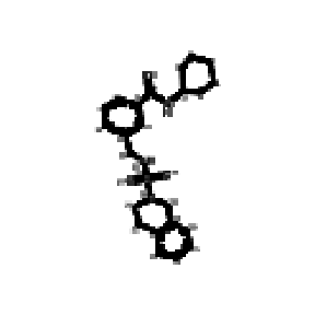 O=C(NC1CCCCC1)c1cccc(CNS(=O)(=O)N2CCc3ccccc3C2)c1